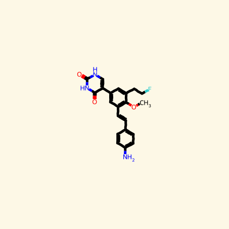 COc1c(/C=C/c2ccc(N)cc2)cc(-c2c[nH]c(=O)[nH]c2=O)cc1CCF